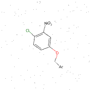 CC(=O)COc1ccc(Cl)c([N+](=O)[O-])c1